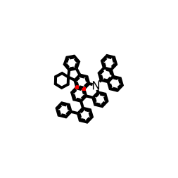 c1ccc(-c2ccccc2-c2ccccc2-c2ccccc2N(c2ccc3c(c2)-c2ccccc2C32CCCCC2)c2cc3ccccc3c3ccccc23)cc1